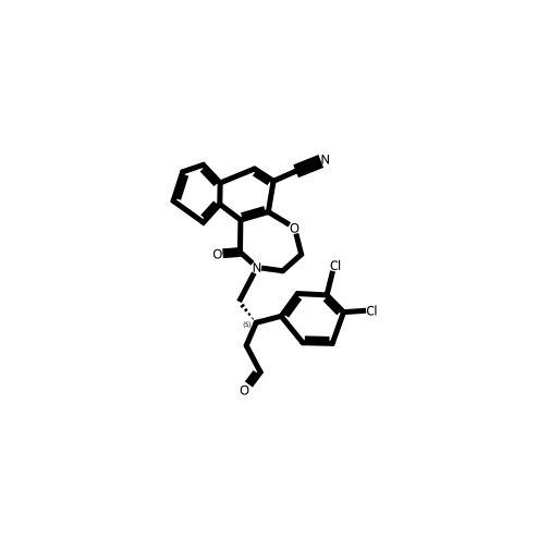 N#Cc1cc2ccccc2c2c1OCCN(C[C@@H](CC=O)c1ccc(Cl)c(Cl)c1)C2=O